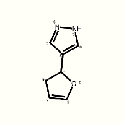 C1=COC(c2cn[nH]c2)C1